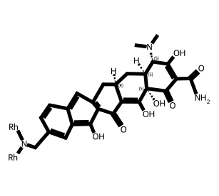 CN(C)[C@@H]1C(O)=C(C(N)=O)C(=O)[C@@]2(O)C(O)=C3C(=O)c4c(cc5ccc(C[N]([Rh])[Rh])cc5c4O)C[C@H]3C[C@@H]12